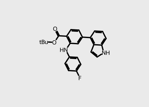 CC(C)(C)OC(=O)c1ccc(-c2cccc3[nH]ccc23)cc1Nc1ccc(F)cc1